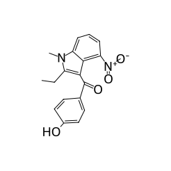 CCc1c(C(=O)c2ccc(O)cc2)c2c([N+](=O)[O-])cccc2n1C